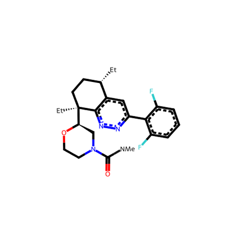 CC[C@H]1CC[C@](CC)([C@H]2CN(C(=O)NC)CCO2)c2nnc(-c3c(F)cccc3F)cc21